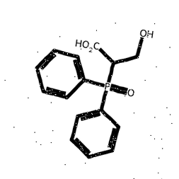 O=C(O)C(CO)P(=O)(c1ccccc1)c1ccccc1